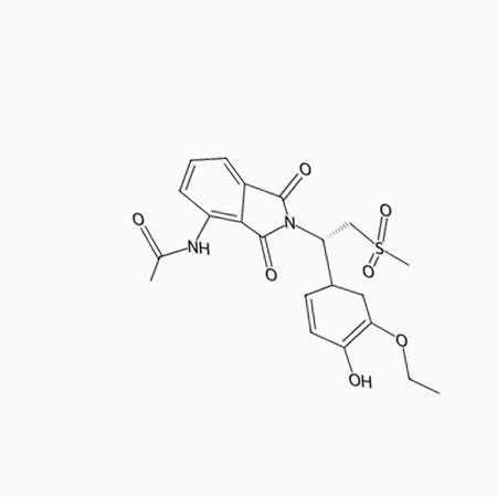 CCOC1=C(O)C=CC([C@@H](CS(C)(=O)=O)N2C(=O)c3cccc(NC(C)=O)c3C2=O)C1